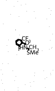 CSC(C)NC(=O)c1c(F)cccc1C(F)(F)F